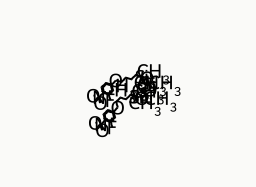 C[Si](C)(CCCCOc1ccc([N+](=O)[O-])c(F)c1)O[Si](C)(C)O[Si](C)(C)O[Si](C)(C)CCCCOc1ccc([N+](=O)[O-])c(F)c1